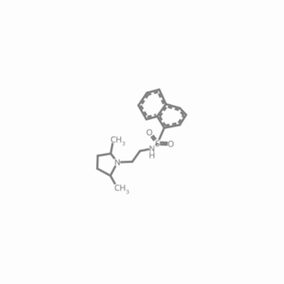 CC1CCC(C)N1CCNS(=O)(=O)c1cccc2ccccc12